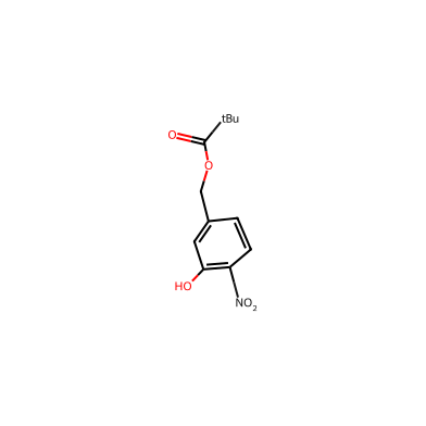 CC(C)(C)C(=O)OCc1ccc([N+](=O)[O-])c(O)c1